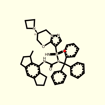 CC1CCc2cc3c(c(NC(=O)N(C(c4ccccc4)(c4ccccc4)c4ccccc4)S(=N)(=O)c4cnn5c4OC[C@@H](N4CCC4)C5)c21)CCC3